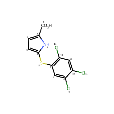 O=C(O)c1ccc(Sc2cc(Cl)c(Cl)cc2Cl)[nH]1